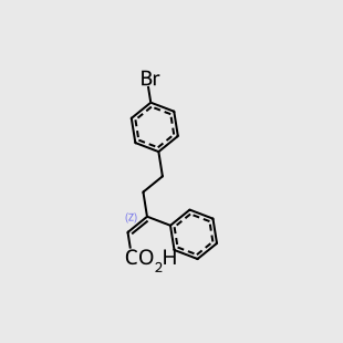 O=C(O)/C=C(/CCc1ccc(Br)cc1)c1ccccc1